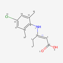 CC/C(=C\C(=O)O)Nc1c(C)cc(Cl)cc1C